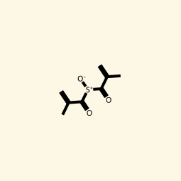 C=C(C)C(=O)[S+]([O-])C(=O)C(=C)C